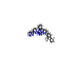 CC1(C)c2ccccc2-c2ccc(-c3cccc(-c4nnc(-c5cccc(-c6ccccn6)n5)n4-c4ccccc4)n3)cc21